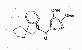 COc1ccc(C(=O)NCC2(c3ccccc3)CCCC2)cc1OC